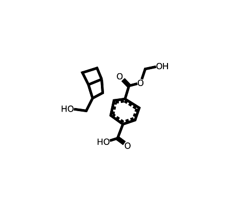 O=C(O)c1ccc(C(=O)OCO)cc1.OCC1CC2CCC12